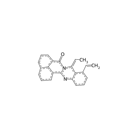 C=Cc1cccc2nc3c4cccc5cccc(c(=O)n3/c(=C/C)c12)c54